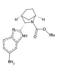 Bc1ccc2nc([C@@H]3[C@H]4CC[C@H](C4)N3C(=O)OC(C)(C)C)[nH]c2c1